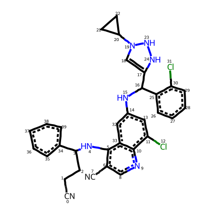 N#CCCC(Nc1c(C#N)cnc2c(Cl)cc(NC(C3=CN(C4CC4)NN3)c3ccccc3Cl)cc12)c1ccccc1